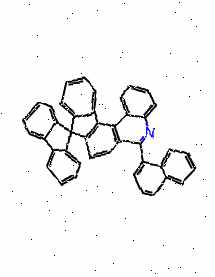 c1ccc2c(c1)-c1ccccc1C21c2ccccc2-c2c1ccc1c(-c3cccc4ccccc34)nc3ccccc3c21